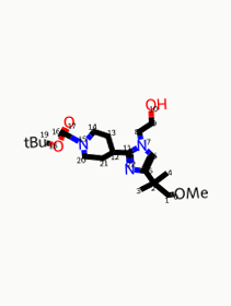 COCC(C)(C)c1cn(CCO)c(C2CCN(C(=O)OC(C)(C)C)CC2)n1